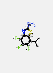 CC(C)c1c(F)c(F)c(F)c2nc(N)sc12